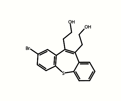 OCCC1=C(CCO)c2cc(Br)ccc2Sc2ccccc21